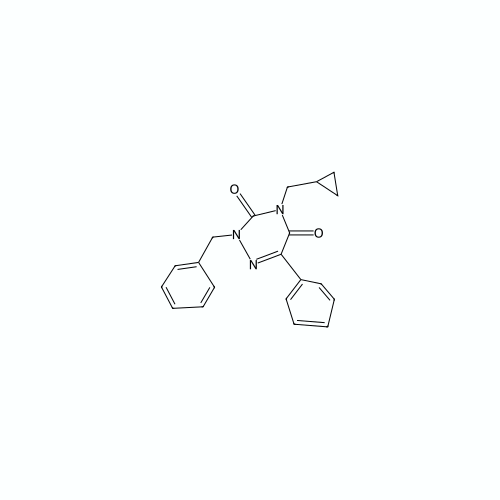 O=c1c(-c2ccccc2)nn(Cc2ccccc2)c(=O)n1CC1CC1